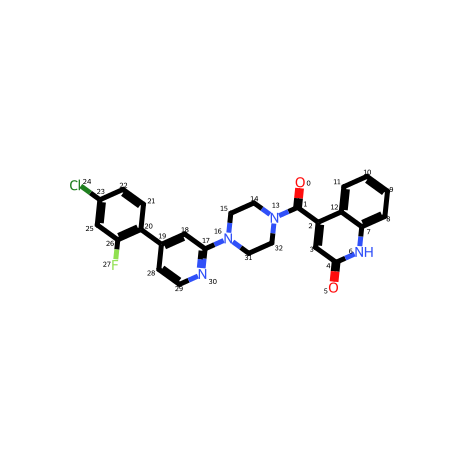 O=C(c1cc(=O)[nH]c2ccccc12)N1CCN(c2cc(-c3ccc(Cl)cc3F)ccn2)CC1